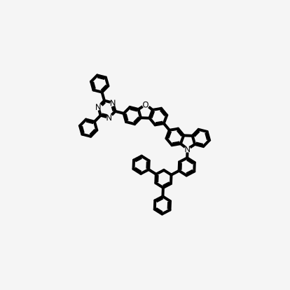 C1=C(c2ccccc2)C=C(c2ccccc2)CC1c1cccc(-n2c3ccccc3c3cc(-c4ccc5oc6cc(-c7nc(-c8ccccc8)nc(-c8ccccc8)n7)ccc6c5c4)ccc32)c1